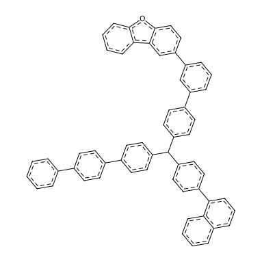 c1ccc(-c2ccc(-c3ccc(C(c4ccc(-c5cccc(-c6ccc7oc8ccccc8c7c6)c5)cc4)c4ccc(-c5cccc6ccccc56)cc4)cc3)cc2)cc1